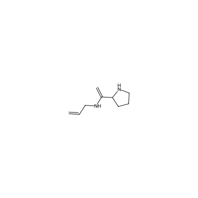 C=CCNC(=C)C1CCCN1